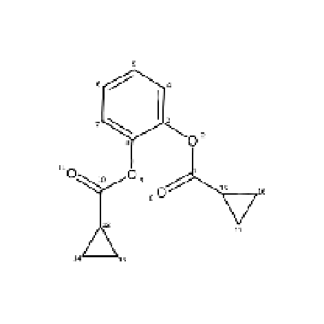 O=C(Oc1ccccc1OC(=O)C1CC1)C1CC1